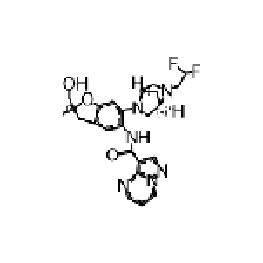 C[C@]1(CO)Cc2cc(NC(=O)c3cnn4cccnc34)c(N3C[C@H]4C[C@@H]3CN4CC(F)F)cc2O1